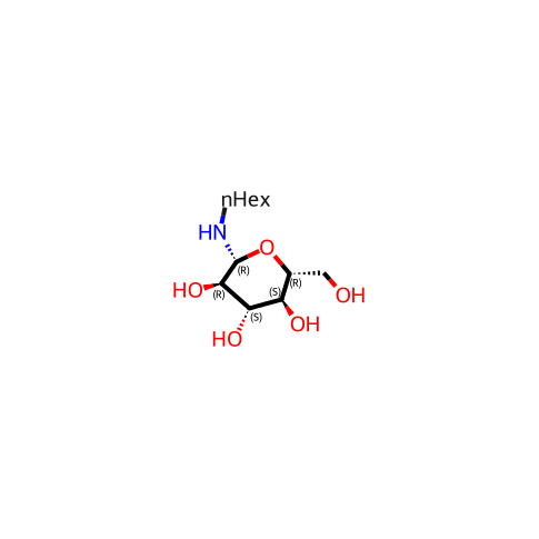 CCCCCCN[C@@H]1O[C@H](CO)[C@@H](O)[C@H](O)[C@H]1O